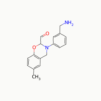 Cc1ccc2c(c1)CN(c1cccc(CN)c1)C(C=O)O2